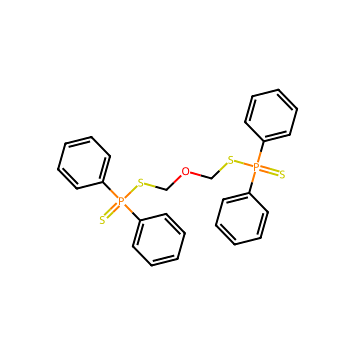 S=P(SCOCSP(=S)(c1ccccc1)c1ccccc1)(c1ccccc1)c1ccccc1